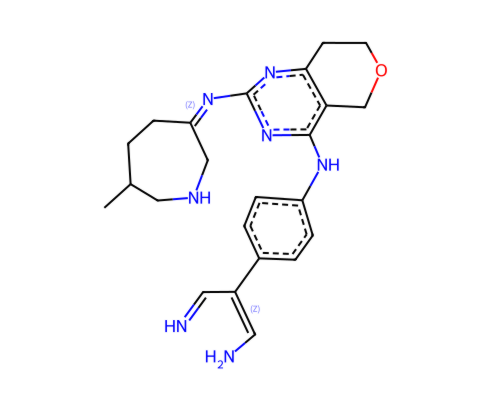 CC1CC/C(=N/c2nc3c(c(Nc4ccc(/C(C=N)=C/N)cc4)n2)COCC3)CNC1